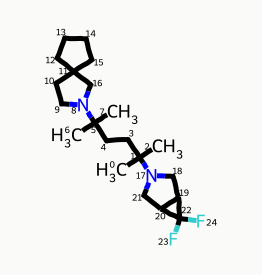 CC(C)(CCC(C)(C)N1CCC2(CCCC2)C1)N1CC2C(C1)C2(F)F